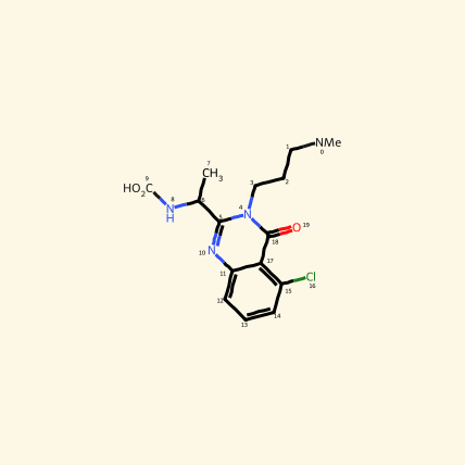 CNCCCn1c(C(C)NC(=O)O)nc2cccc(Cl)c2c1=O